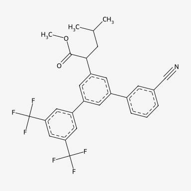 COC(=O)C(CC(C)C)c1cc(-c2cccc(C#N)c2)cc(-c2cc(C(F)(F)F)cc(C(F)(F)F)c2)c1